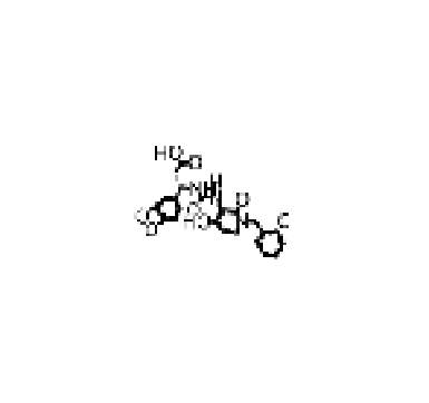 O=C(O)C[C@H](NC(=O)Nc1c(O)ccn(Cc2ccccc2Cl)c1=O)c1ccc2c(c1)OCO2